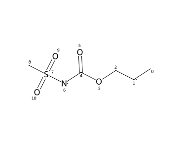 C[CH]COC(=O)[N]S(C)(=O)=O